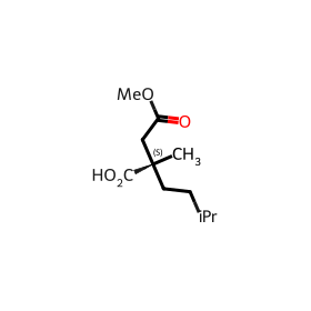 COC(=O)C[C@](C)(CCC(C)C)C(=O)O